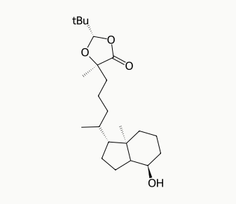 CC(CCC[C@@]1(C)O[C@H](C(C)(C)C)OC1=O)[C@H]1CCC2[C@H](O)CCC[C@@]21C